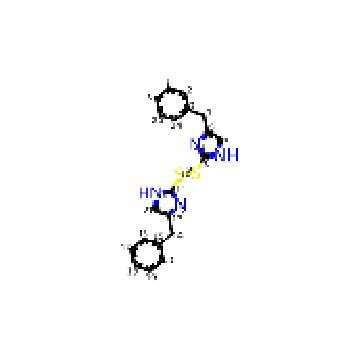 c1ccc(Cc2c[nH]c(SSc3nc(Cc4ccccc4)c[nH]3)n2)cc1